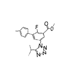 COC(=O)c1cc(-n2nnnc2C(C)C)cc(-c2ccc(C)cc2)c1F